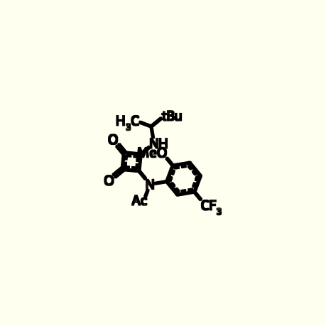 COc1ccc(C(F)(F)F)cc1N(C(C)=O)c1c(NC(C)C(C)(C)C)c(=O)c1=O